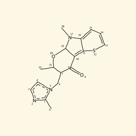 Cc1nccn1CC1C(=O)C2=C3SC=CC=C3N(C)C2OC1C